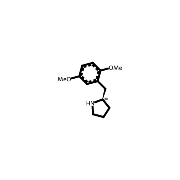 COc1ccc(OC)c(C[C@H]2CCCN2)c1